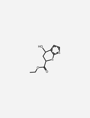 CCOC(=O)C1CC(O)c2ccsc2S1